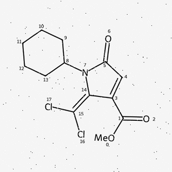 COC(=O)C1=CC(=O)N(C2CCCCC2)C1=C(Cl)Cl